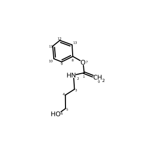 C=C(NCCCO)Oc1ccccc1